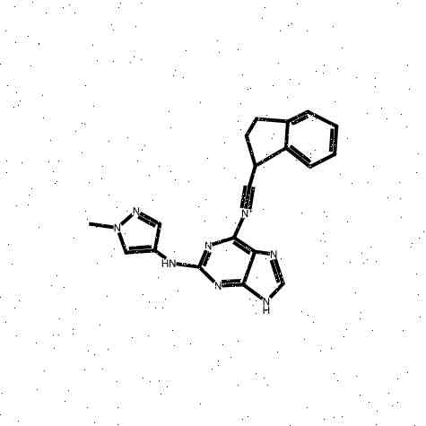 Cn1cc(Nc2nc([N+]#CC3CCc4ccccc43)c3nc[nH]c3n2)cn1